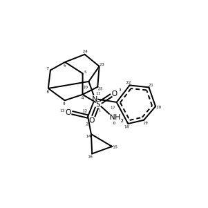 NS(=O)(=O)C12CC3CC(C1)C(N(C(=O)C1CC1)c1ccccc1)C(C3)C2